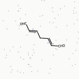 O=C/C=[C]/C/[C]=C/C=O